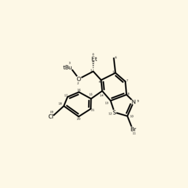 CC[C@@H](OC(C)(C)C)c1c(C)cc2nc(Br)sc2c1-c1ccc(Cl)cc1